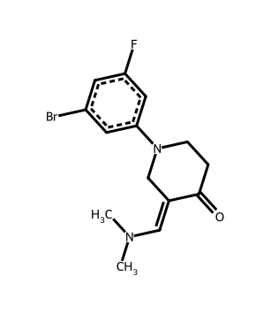 CN(C)C=C1CN(c2cc(F)cc(Br)c2)CCC1=O